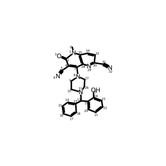 Cn1c(=O)c(C#N)c(N2CCN(C(c3ccccc3)c3ccccc3O)CC2)c2nc(C#N)ccc21